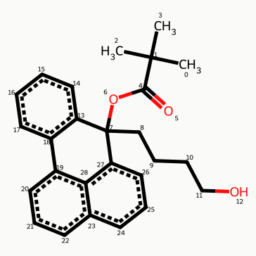 CC(C)(C)C(=O)OC1(CCCCO)c2ccccc2-c2cccc3cccc1c23